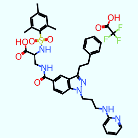 Cc1cc(C)c(S(=O)(=O)N[C@@H](CNC(=O)c2ccc3c(c2)c(CCc2ccccc2)nn3CCCNc2ccccn2)C(=O)O)c(C)c1.O=C(O)C(F)(F)F